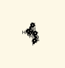 O=C(Nc1cccc2nc(-c3c(NCc4ccccc4)cc[nH]c3=O)[nH]c12)c1ccc(F)cc1F